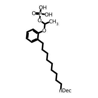 CCCCCCCCCCCCCCCCCCCc1ccccc1OC(C)OP(=O)(O)O